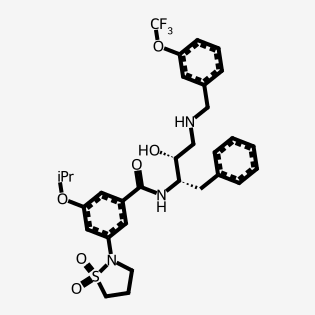 CC(C)Oc1cc(C(=O)N[C@@H](Cc2ccccc2)[C@H](O)CNCc2cccc(OC(F)(F)F)c2)cc(N2CCCS2(=O)=O)c1